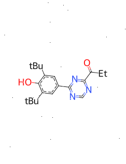 CCC(=O)c1ncnc(-c2cc(C(C)(C)C)c(O)c(C(C)(C)C)c2)n1